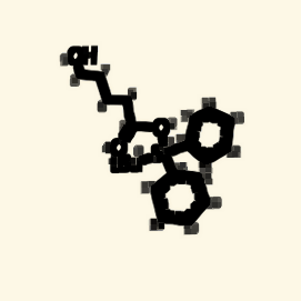 CC(C)(C)[Si](OC(=O)CCCCO)(c1ccccc1)c1ccccc1